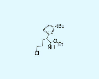 CCOC(=N)C(CCCCl)c1cccc(C(C)(C)C)c1